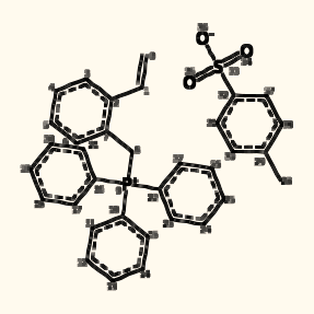 C=Cc1ccccc1C[P+](c1ccccc1)(c1ccccc1)c1ccccc1.Cc1ccc(S(=O)(=O)[O-])cc1